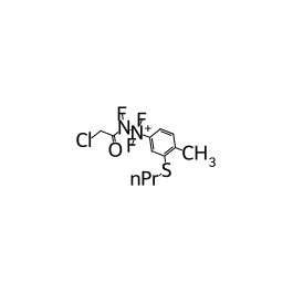 CCCSc1cc([N+](F)(F)N(F)C(=O)CCl)ccc1C